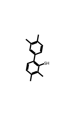 Cc1ccc(-c2ccc(C)c(C)c2S)cc1C